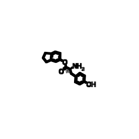 N[C@@H](Cc1ccc(O)cc1)C(=O)Oc1ccc2c(c1)CCC2